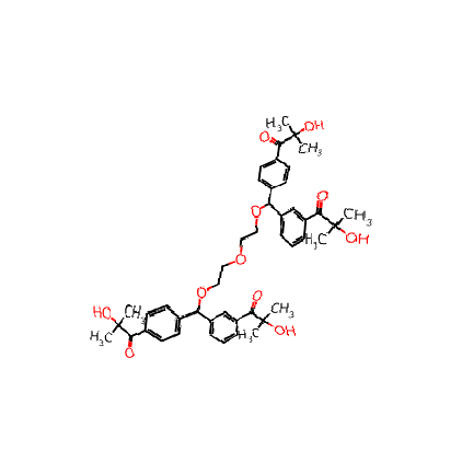 CC(C)(O)C(=O)c1ccc(C(OCCOCCOC(c2ccc(C(=O)C(C)(C)O)cc2)c2cccc(C(=O)C(C)(C)O)c2)c2cccc(C(=O)C(C)(C)O)c2)cc1